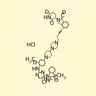 COc1cc(N2CCC(N3CCN(CCC#Cc4cccc5c4CN(C4CCC(=O)NC4=O)C5=C=O)CC3)CC2)ccc1Nc1ncc(Cl)c(Nc2ccccc2P(C)(C)=O)n1.Cl